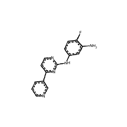 Nc1cc(Nc2nccc(-c3cccnc3)n2)ccc1F